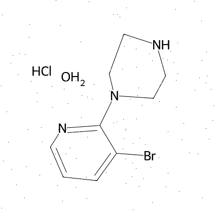 Brc1cccnc1N1CCNCC1.Cl.O